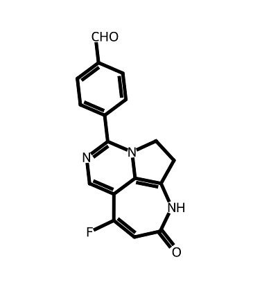 O=Cc1ccc(C2=NC=C3C(F)=CC(=O)NC4=C3N2CC4)cc1